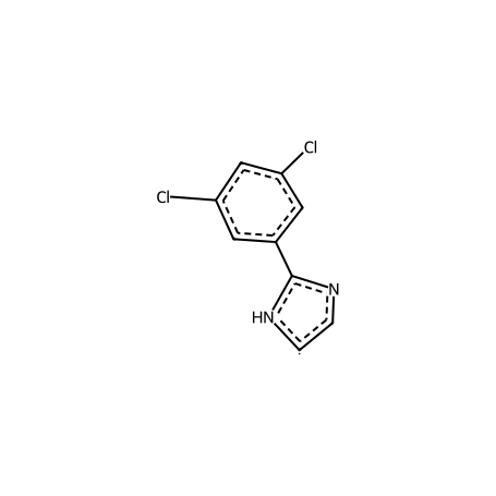 Clc1cc(Cl)cc(-c2nc[c][nH]2)c1